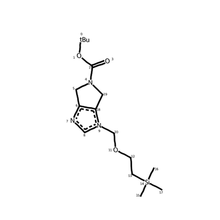 CC(C)(C)OC(=O)N1Cc2ncn(COCC[Si](C)(C)C)c2C1